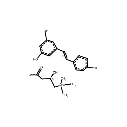 C[N+](C)(C)C[C@H](O)CC(=O)[O-].Oc1ccc(/C=C/c2cc(O)cc(O)c2)cc1